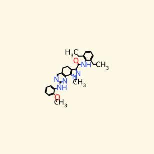 CCc1cccc(CC)c1NC(=O)c1nn(C)c2c1CCc1cnc(Nc3ccccc3OC)nc1-2